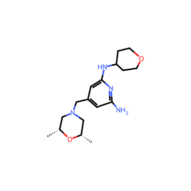 C[C@@H]1CN(Cc2cc(N)nc(NC3CCOCC3)c2)C[C@H](C)O1